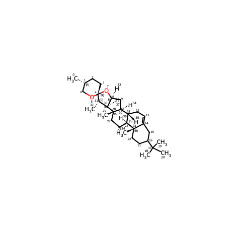 C[C@@H]1CC[C@@]2(OC1)O[C@H]1C[C@H]3[C@@H]4CC=C5CC(C(C)(C)C)CC[C@]5(C)[C@H]4CC[C@]3(C)[C@H]1[C@@H]2C